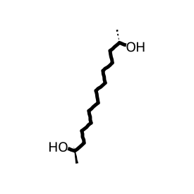 C[C@H](O)CCCCCCCCCC[C@@H](C)O